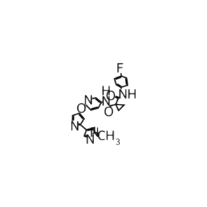 Cn1cc(-c2cc(Oc3ccc(NC(=O)C4(C(=O)Nc5ccc(F)cc5)CC4)cn3)ccn2)cn1